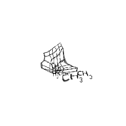 CC12C3C4C5C6C7CC8C9C%10C%11CC%12C%13C%14C%15C3%16C3(C)C%17(C)C1(C)C1%18C42C52C64C87C95C%106C%12%11C78C%13(C)C%149C%15%16C3%10C%171C1(C97%10)C68C54C2%181